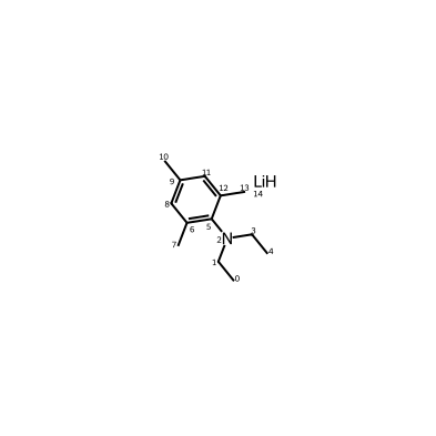 CCN(CC)c1c(C)cc(C)cc1C.[LiH]